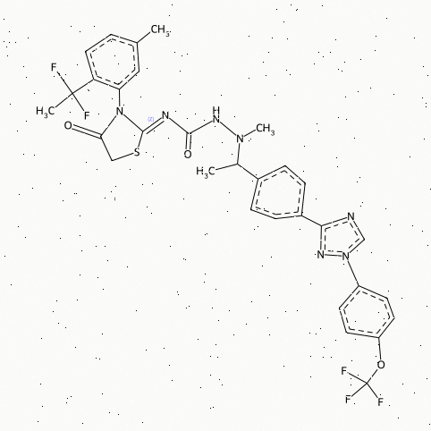 Cc1ccc(C(C)(F)F)c(N2C(=O)CS/C2=N\C(=O)NN(C)C(C)c2ccc(-c3ncn(-c4ccc(OC(F)(F)F)cc4)n3)cc2)c1